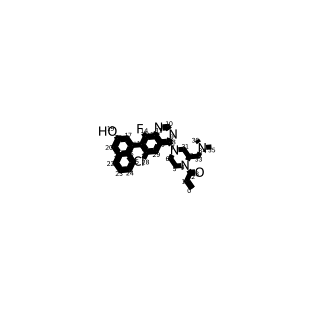 C=CC(=O)N1CCN(c2ncnc3c(F)c(-c4cc(O)cc5ccccc45)c(Cl)cc23)CC1CN(C)C